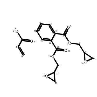 C=CC(=O)O.O=C(OCC1CO1)c1ccccc1C(=O)OCC1CO1